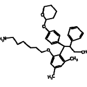 CCC(c1ccccc1)C(c1ccc(OC2CCCCO2)cc1)c1c(C)cc(C)cc1OCCCCCCN